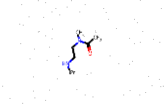 CC(C)NCCN(C)C(=O)C(F)(F)F